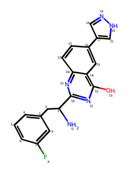 NC(Cc1cccc(F)c1)c1nc(O)c2cc(-c3cn[nH]c3)ccc2n1